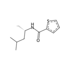 [CH2][C@@H](CC(C)C)NC(=O)c1cccs1